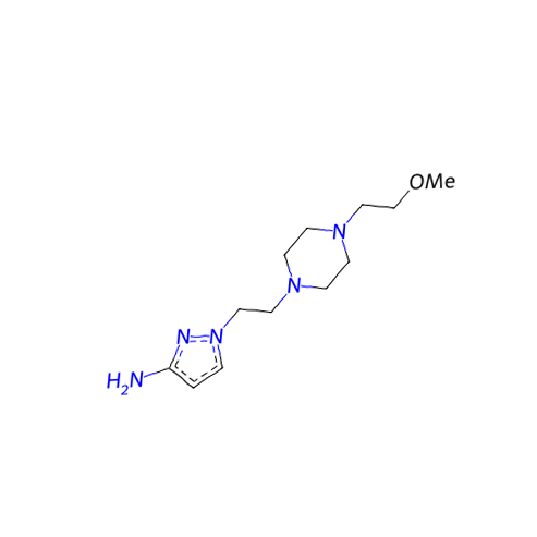 COCCN1CCN(CCn2ccc(N)n2)CC1